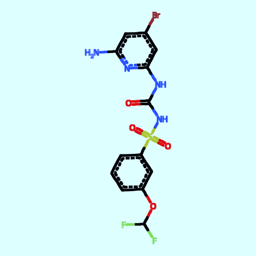 Nc1cc(Br)cc(NC(=O)NS(=O)(=O)c2cccc(OC(F)F)c2)n1